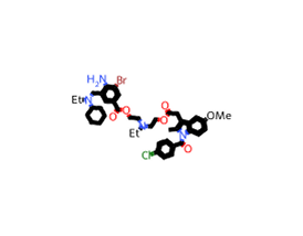 CCN(CCOC(=O)Cc1c(C)n(C(=O)c2ccc(Cl)cc2)c2ccc(OC)cc12)CCOC(=O)c1cc(Br)c(N)c(CN(CC)C2CCCCC2)c1